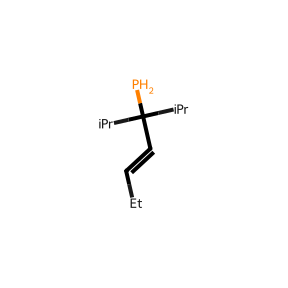 CCC=CC(P)(C(C)C)C(C)C